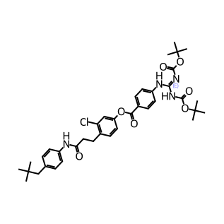 CC(C)(C)Cc1ccc(NC(=O)CCc2ccc(OC(=O)c3ccc(N/C(=N\C(=O)OC(C)(C)C)NC(=O)OC(C)(C)C)cc3)cc2Cl)cc1